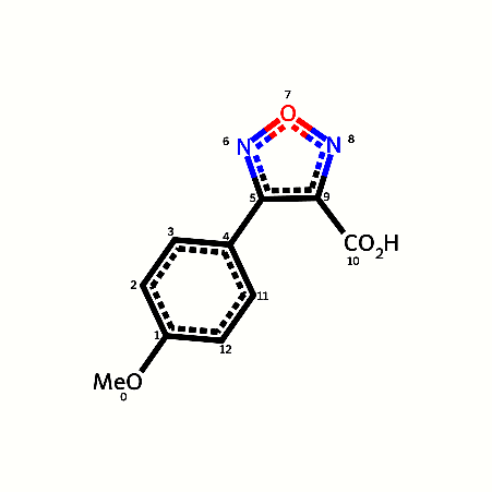 COc1ccc(-c2nonc2C(=O)O)cc1